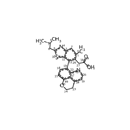 Cc1cc2nc(CC(C)C)sc2c(-c2ccc3c4c(ccnc24)CCO3)c1CC(=O)O